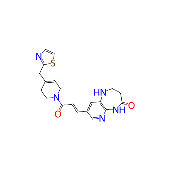 O=C1CCNc2cc(C=CC(=O)N3CC=C(Cc4nccs4)CC3)cnc2N1